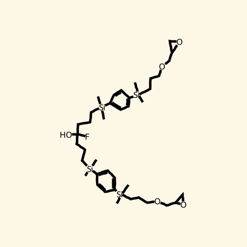 C[Si](C)(CCCOCC1CO1)c1ccc([Si](C)(C)CCCC(O)(F)CCC[Si](C)(C)c2ccc([Si](C)(C)CCCOCC3CO3)cc2)cc1